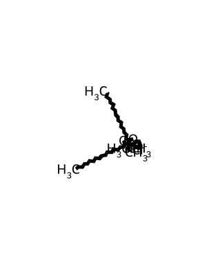 CCCCCCCCC=CCCCCCCCC(=O)C(C(=O)CCCCCCCC=CCCCCCCCC)(c1ccccc1)[N+](C)(C)C.[Cl-]